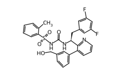 Cc1ccccc1S(=O)(=O)NC(=O)N[C@@H](Cc1cc(F)cc(F)c1)c1ncccc1-c1cccc(CO)c1